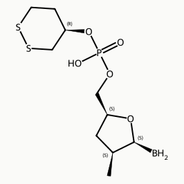 B[C@@H]1O[C@H](COP(=O)(O)O[C@@H]2CCSSC2)C[C@@H]1C